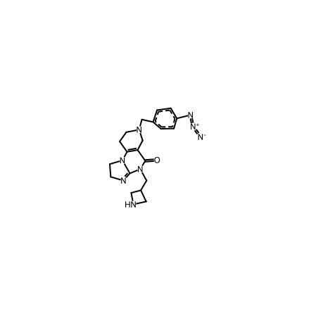 [N-]=[N+]=Nc1ccc(CN2CCC3=C(C2)C(=O)N(CC2CNC2)C2=NCCN23)cc1